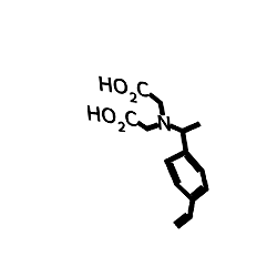 C=Cc1ccc(C(C)N(CC(=O)O)CC(=O)O)cc1